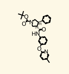 Cc1ccc(Oc2cccc(NC(=O)[C@@H]3CN(C(=O)OC(C)(C)C)C[C@H]3c3ccccc3)c2)nc1